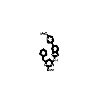 CNc1nc(Cc2ccccc2)cc(Nc2nc3ccc(-c4ccc(OC)nc4)cc3s2)n1